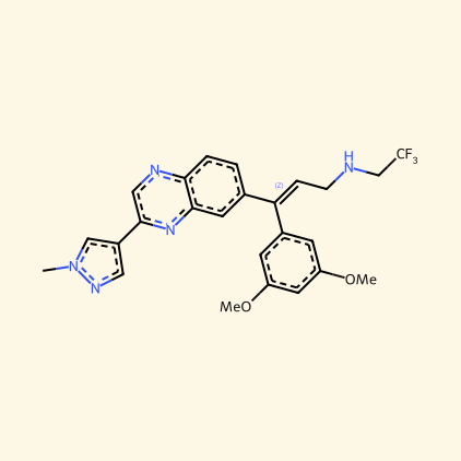 COc1cc(OC)cc(/C(=C\CNCC(F)(F)F)c2ccc3ncc(-c4cnn(C)c4)nc3c2)c1